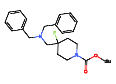 CC(C)(C)OC(=O)N1CCC(F)(CN(Cc2ccccc2)Cc2ccccc2)CC1